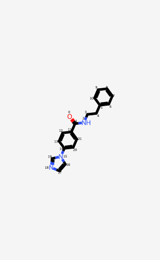 O=C(NCCc1ccccc1)c1ccc(-n2ccnc2)cc1